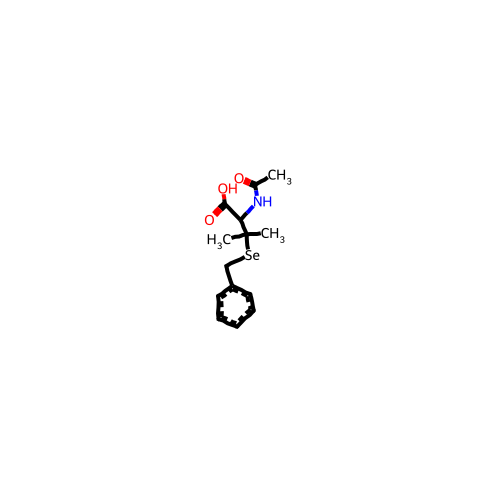 CC(=O)NC(C(=O)O)C(C)(C)[Se]Cc1ccccc1